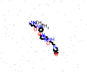 Cc1ccc(Oc2ccc3nc(NC(=O)CCCN4CCC5(CC4)COC5)cn3n2)cc1NC(=O)c1cc(I)nn1C